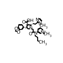 CCCCN(C(=O)CN1C[C@H](c2ccc3c(c2)OCO3)[C@@H](C(=O)O)[C@@H]1CCc1nccn1C)c1ccc[n+](C)c1